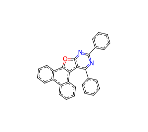 c1ccc(-c2nc(-c3ccccc3)c3c(n2)oc2c4ccccc4c4ccccc4c23)cc1